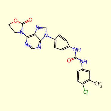 O=C(Nc1ccc(-n2cnc3c(N4CCOC4=O)ncnc32)cc1)Nc1ccc(Cl)c(C(F)(F)F)c1